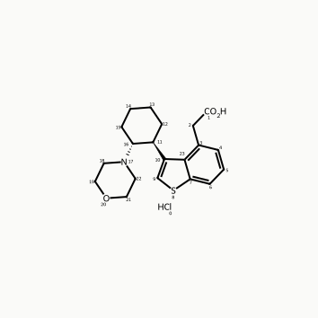 Cl.O=C(O)Cc1cccc2scc([C@@H]3CCCC[C@H]3N3CCOCC3)c12